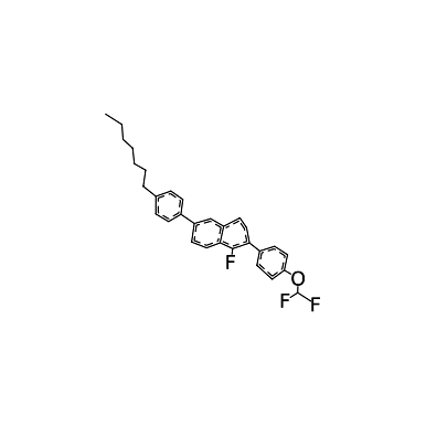 CCCCCCCc1ccc(-c2ccc3c(F)c(-c4ccc(OC(F)F)cc4)ccc3c2)cc1